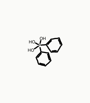 OP(O)(O)(c1ccccc1)c1ccccc1